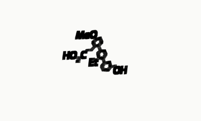 CCc1cc(-c2ccc(OC)cc2CCC(=O)O)ccc1-c1cccc(CO)c1